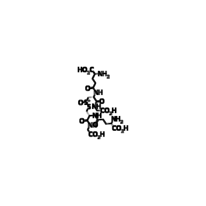 N[C@@H](CCC(=O)N[C@@H](CS[S+]([O-])C[C@H](NC(=O)CC[C@H](N)C(=O)O)C(=O)NCC(=O)O)C(=O)NCC(=O)O)C(=O)O